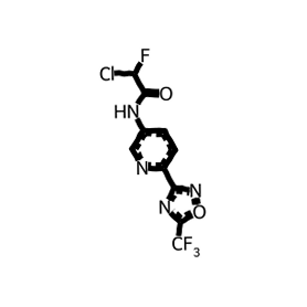 O=C(Nc1ccc(-c2noc(C(F)(F)F)n2)nc1)C(F)Cl